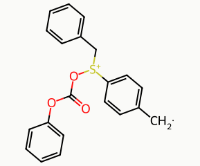 [CH2]c1ccc([S+](Cc2ccccc2)OC(=O)Oc2ccccc2)cc1